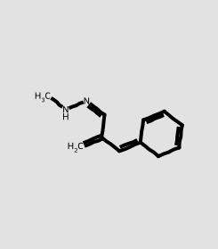 C=C(/C=N\NC)/C=C1\C=CC=CC1